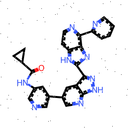 O=C(Nc1cncc(-c2cnc3[nH]nc(-c4nc5c(-c6ccccn6)nccc5[nH]4)c3c2)c1)C1CC1